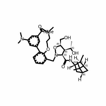 CNC(=O)c1cc(-c2cccc(CN3O[C@@H](CO)[C@@H]([C@H](C)O)[C@H]3C(=O)N[C@H]3C[C@H]4C[C@@H]([C@@H]3C)C4(C)C)c2OCCN(C)C)cc(N(C)C)c1